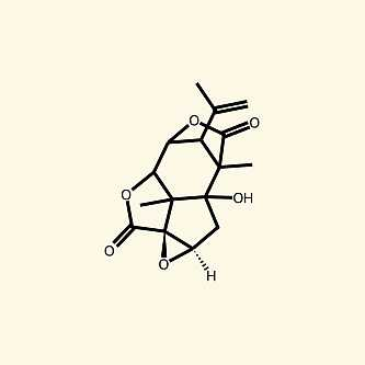 C=C(C)C1C2OC(=O)C1(C)C1(O)C[C@H]3O[C@]34C(=O)OC2C14C